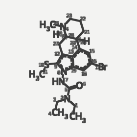 CCN(CC)C(=O)Nn1c(SC)c2c3c(cc(Br)cc31)[C@H]1CCCN(C)[C@@H]1C2